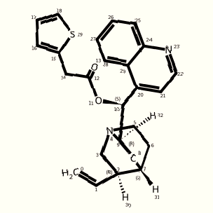 C=C[C@H]1CN2CC[C@H]1C[C@@H]2[C@@H](OC(=O)Cc1cccs1)c1ccnc2ccccc12